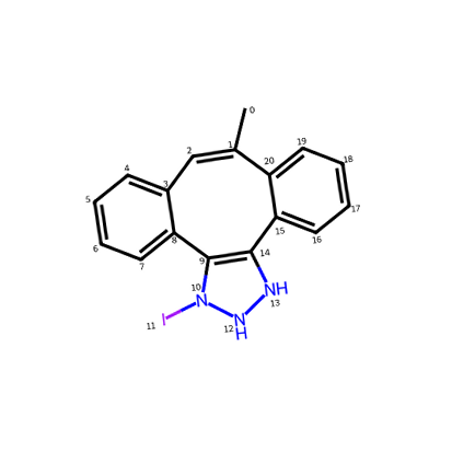 Cc1cc2ccccc2c2n(I)[nH][nH]c=2c2ccccc12